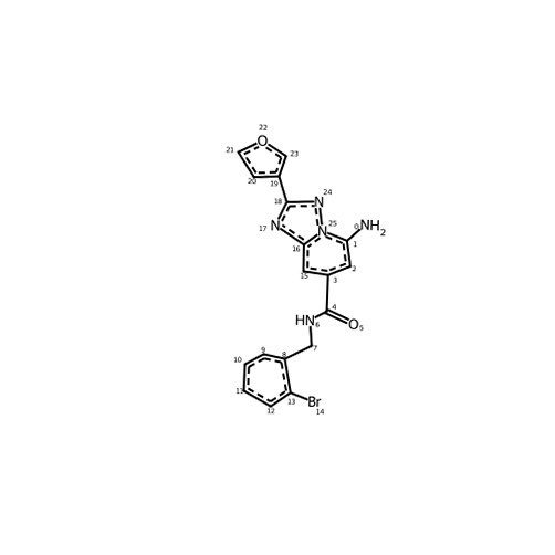 Nc1cc(C(=O)NCc2ccccc2Br)cc2nc(-c3ccoc3)nn12